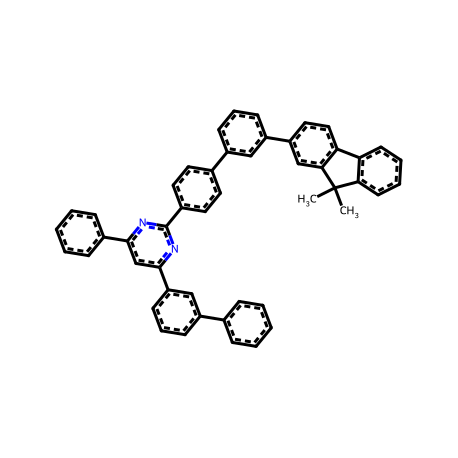 CC1(C)c2ccccc2-c2ccc(-c3cccc(-c4ccc(-c5nc(-c6ccccc6)cc(-c6cccc(-c7ccccc7)c6)n5)cc4)c3)cc21